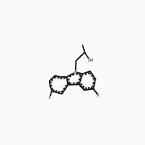 CC(O)Cn1c2ccc(F)cc2c2cc(F)ccc21